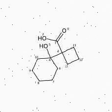 O=C(O)C1(C2(O)CCCCC2)CCC1